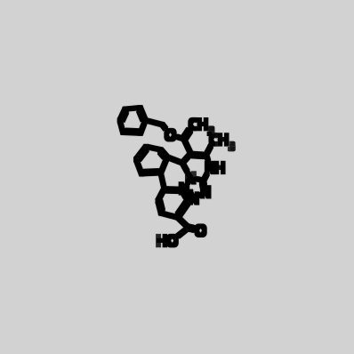 C=C(OCc1ccccc1)C1=C(C)Nc2nnnn2C1c1ccccc1-c1ccc(C(=O)O)cc1